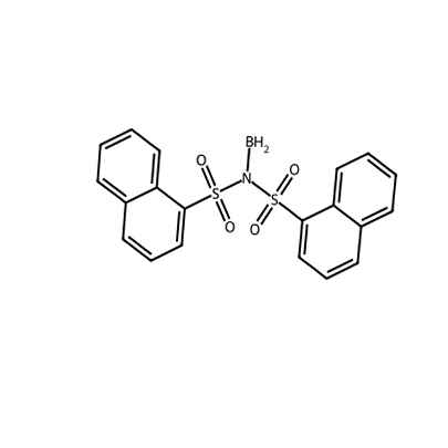 BN(S(=O)(=O)c1cccc2ccccc12)S(=O)(=O)c1cccc2ccccc12